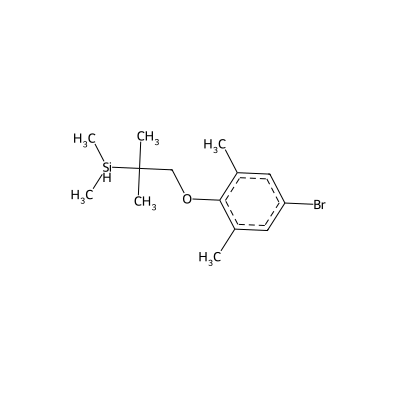 Cc1cc(Br)cc(C)c1OCC(C)(C)[SiH](C)C